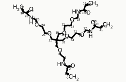 C=CC(=O)NCCOCC(COCCOCNC(=O)C=C)(COCCOCNC(=O)C=C)COCCOCNC(=O)C=C